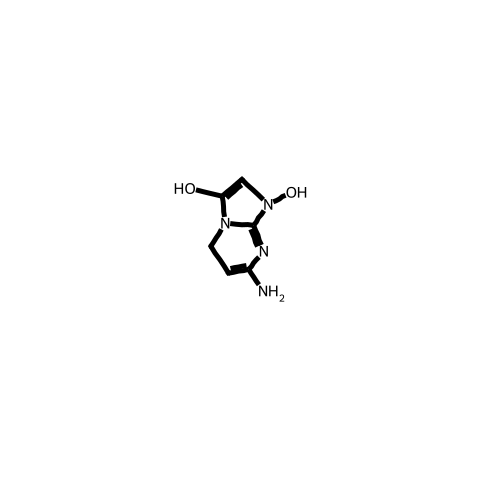 NC1=CCN2C(O)=CN(O)C2=N1